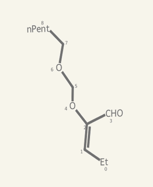 CC/C=C(\C=O)OCOCCCCCC